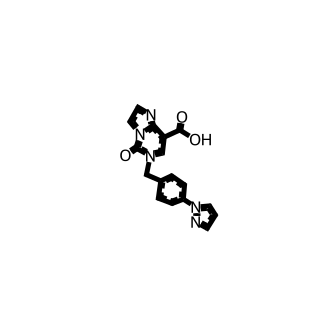 O=C(O)c1cn(Cc2ccc(-n3cccn3)cc2)c(=O)n2ccnc12